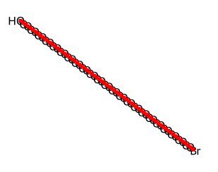 OCCOCCOCCOCCOCCOCCOCCOCCOCCOCCOCCOCCOCCOCCOCCOCCOCCOCCOCCOCCOCCOCCOCCOCCOCCOCCOCCOCCOCCOCCOCCOCCOCCOCCOCCOCCOCCOCCOCCOCCOCCOCCOCCOCCOCCOCCOCCBr